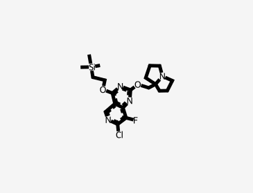 C[Si](C)(C)CCOc1nc(OCC23CCCN2CCC3)nc2c(F)c(Cl)ncc12